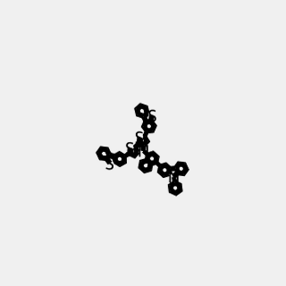 c1ccc(-n2c3ccccc3c3cc(-c4ccc(-n5c6cc(-c7ccc8sc9ccccc9c8c7)sc6c6sc(-c7ccc8sc9ccccc9c8c7)cc65)c5ccccc45)ccc32)cc1